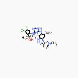 COc1cc(N2CC[C@@H]2CN(C)C)c(N)cc1Nc1ncnc(Nc2cc(F)c(Cl)cc2C(C)(C)O)n1